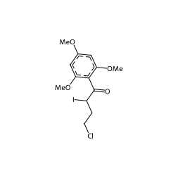 COc1cc(OC)c(C(=O)C(I)CCCl)c(OC)c1